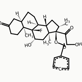 C[C@H]1C[C@H]2[C@@H]3CC[C@@H]4CC(=O)CC[C@]4(C)[C@@]3(F)[C@@H](O)C[C@]2(C)[C@@]1(OC(=O)c1ccccc1)C(=O)CO